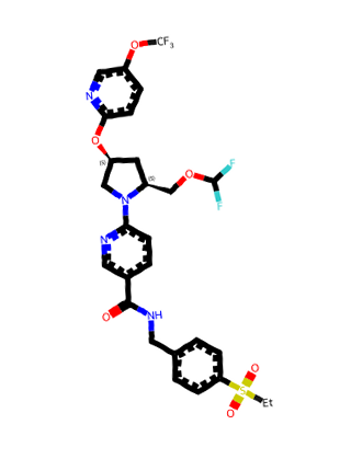 CCS(=O)(=O)c1ccc(CNC(=O)c2ccc(N3C[C@@H](Oc4ccc(OC(F)(F)F)cn4)C[C@H]3COC(F)F)nc2)cc1